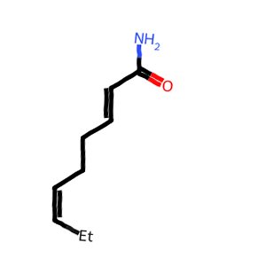 CC/C=C\CC/C=C/C(N)=O